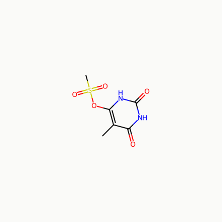 Cc1c(OS(C)(=O)=O)[nH]c(=O)[nH]c1=O